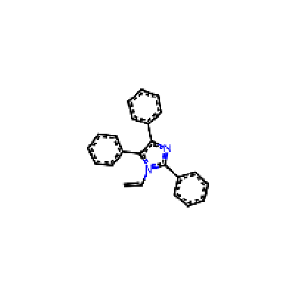 C=Cn1c(-c2ccccc2)nc(-c2ccccc2)c1-c1ccccc1